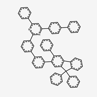 c1ccc(-c2ccc(-c3cc(-c4ccccc4)nc(-c4cccc(-c5cccc(-c6cc7c(cc6-c6ccccc6)-c6ccccc6C7(c6ccccc6)c6ccccc6)c5)c4)n3)cc2)cc1